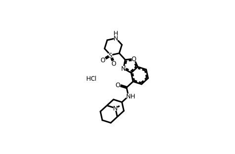 CN1C2CCCC1CC(NC(=O)c1cccc3oc(C4CNCCS4(=O)=O)nc13)C2.Cl